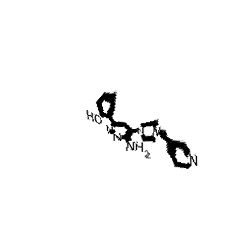 Nc1nnc(-c2ccccc2O)cc1N1CCN(Cc2cccnc2)CC1